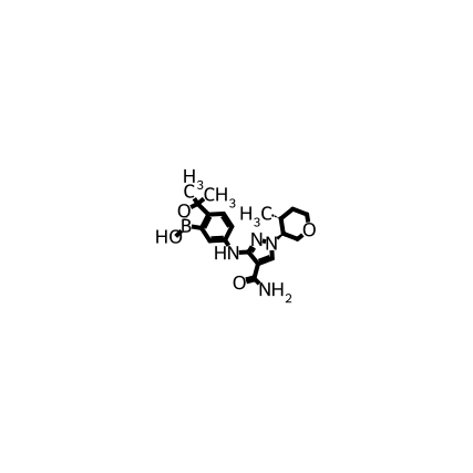 C[C@@H]1CCOC[C@H]1n1cc(C(N)=O)c(Nc2ccc3c(c2)B(O)OC3(C)C)n1